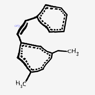 Cc1cc(C)cc(/C=C\c2ccccc2)c1